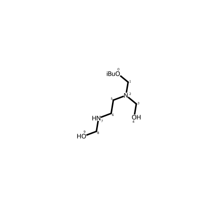 CC(C)COCN(CO)CCNCO